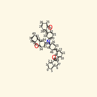 c1ccc2c(c1)ccc1c3cccc(-c4ccc(N(c5ccc6oc7ccccc7c6c5)c5ccc6oc7ccccc7c6c5)cc4)c3oc21